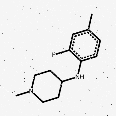 Cc1ccc(NC2CCN(C)CC2)c(F)c1